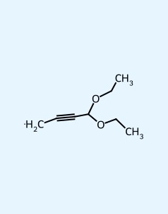 [CH2]C#CC(OCC)OCC